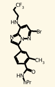 CCCNC(=O)c1ccc(-c2cnc3c(NCCC(F)(F)F)cc(Br)nn23)cc1C